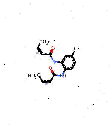 Cc1ccc(NC(=O)/C=C\C(=O)O)c(NC(=O)/C=C\C(=O)O)c1